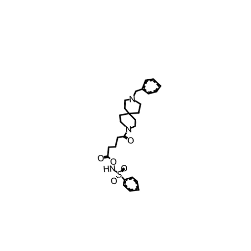 O=C(CCCC(=O)N1CCC2(CCN(Cc3ccccc3)CC2)CC1)ONS(=O)(=O)c1ccccc1